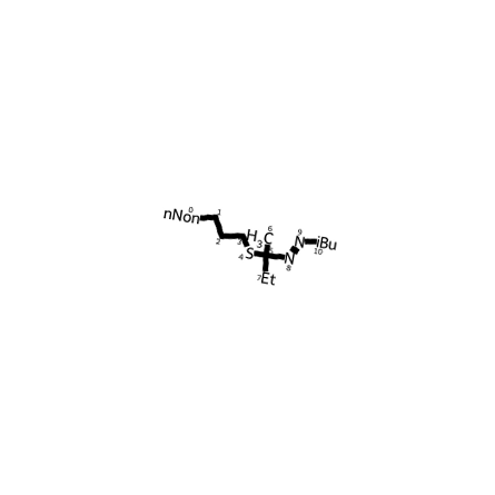 CCCCCCCCCCCCSC(C)(CC)N=NC(C)CC